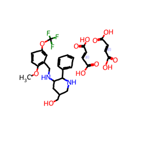 COc1ccc(OC(F)(F)F)cc1CNC1CC(CO)CNC1c1ccccc1.O=C(O)/C=C/C(=O)O.O=C(O)/C=C/C(=O)O